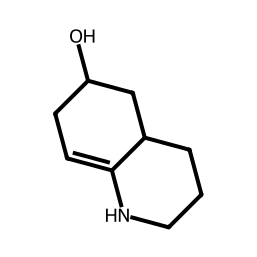 OC1CC=C2NCCCC2C1